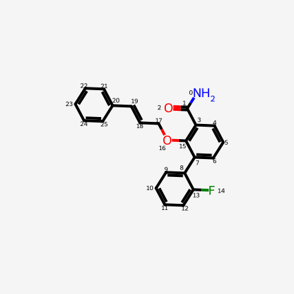 NC(=O)c1cccc(-c2ccccc2F)c1OCC=Cc1ccccc1